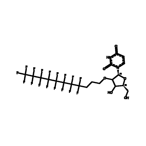 O=c1ccn([C@@H]2O[C@H](CO)C(O)C2OCCCC(F)(F)C(F)(F)C(F)(F)C(F)(F)C(F)(F)C(F)(F)C(F)(F)C(F)(F)F)c(=O)[nH]1